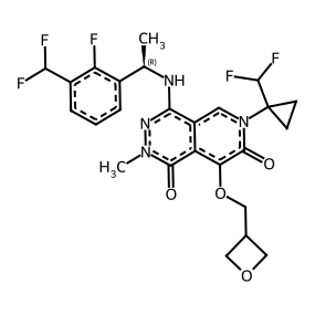 C[C@@H](Nc1nn(C)c(=O)c2c(OCC3COC3)c(=O)n(C3(C(F)F)CC3)cc12)c1cccc(C(F)F)c1F